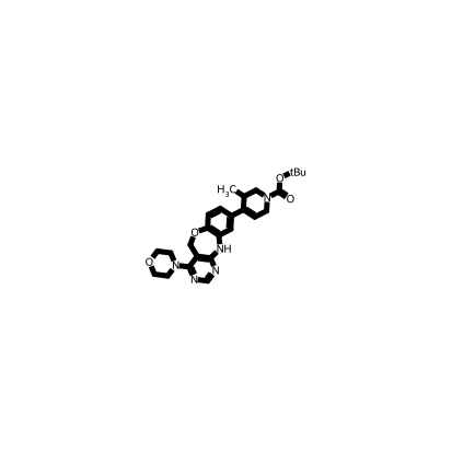 CC1CN(C(=O)OC(C)(C)C)CC=C1c1ccc2c(c1)Nc1ncnc(N3CCOCC3)c1CO2